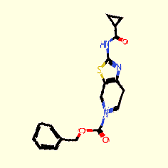 O=C(Nc1nc2c(s1)CN(C(=O)OCc1ccccc1)CC2)C1CC1